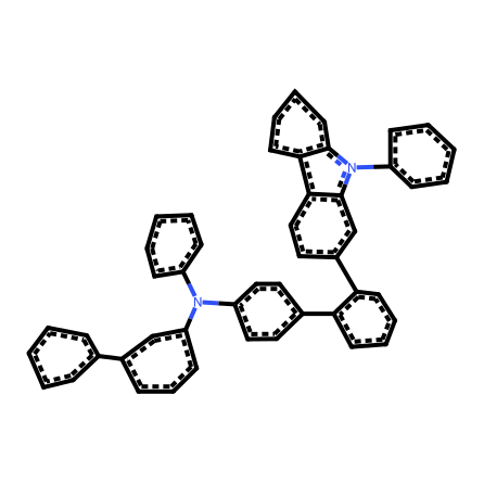 c1ccc(-c2cccc(N(c3ccccc3)c3ccc(-c4ccccc4-c4ccc5c6ccccc6n(-c6ccccc6)c5c4)cc3)c2)cc1